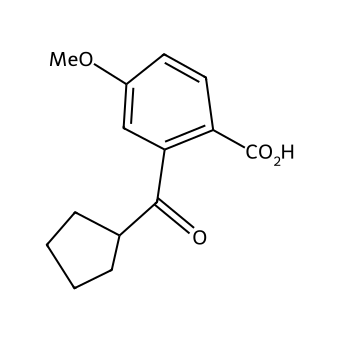 COc1ccc(C(=O)O)c(C(=O)C2CCCC2)c1